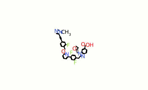 Cn1cncc1C#Cc1ccc(COc2cccc(-c3cc(F)c(Cc4nc5ccc(C(=O)O)cc5n4C[C@@H]4CCO4)cc3F)n2)c(F)c1